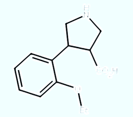 CCOc1ccccc1C1CNCC1C(=O)O